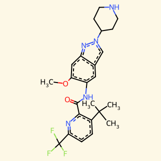 COc1cc2nn(C3CCNCC3)cc2cc1NC(=O)c1nc(C(F)(F)F)ccc1C(C)(C)C